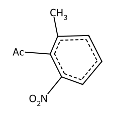 CC(=O)c1c(C)cccc1[N+](=O)[O-]